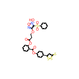 O=C(CCOc1no[n+](O)c1S(=O)(=O)c1ccccc1)Oc1ccccc1C(=O)Oc1ccc(-c2cc(=S)ss2)cc1